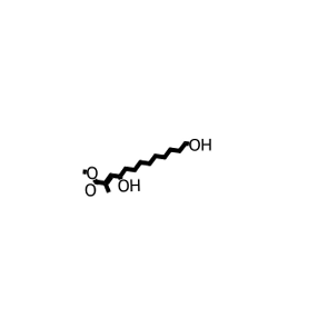 COC(=O)C(C)=CC(O)CCCCCCCCCO